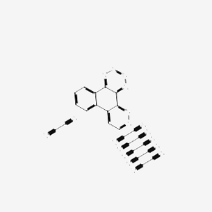 N#CC#N.N#CC#N.N#CC#N.N#CC#N.N#CC#N.N#CC#N.c1ccc2c(c1)c1ccnnc1c1nnnnc21